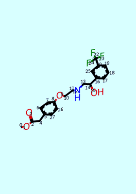 COC(=O)Cc1ccc(OCCNCC(O)c2cccc(C(F)(F)F)c2)cc1